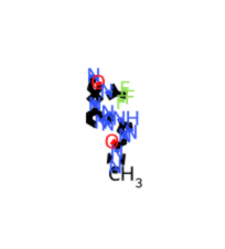 CN1CCN(C(=O)Cn2cc(Nc3nc4c(N5CC(CC#N)(C(=O)N6CC(C(F)(F)F)C6)C5)cccn4n3)cn2)CC1